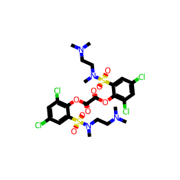 CN(C)CCN(C)S(=O)(=O)c1cc(Cl)cc(Cl)c1OC(=O)C(=O)Oc1c(Cl)cc(Cl)cc1S(=O)(=O)N(C)CCN(C)C